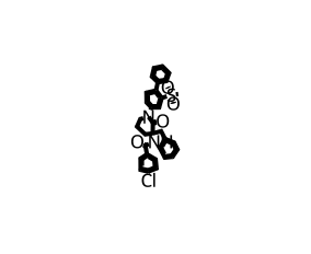 CS(=O)(=O)c1cc(N2CCCC(Cc3ccccc3)(NC(=O)c3ccc(Cl)cc3)C2=O)ccc1-c1ccccc1